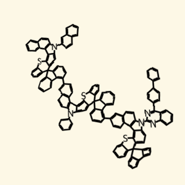 c1ccc(-c2ccc(-c3nc(-n4c5ccc6c(c5c5c7ccc(-c8cccc9c8-c8ccccc8C98c9ccccc9Sc9c8ccc8c9c9c%10ccc(-c%11cccc%12c%11-c%11ccccc%11C%12%11c%12ccccc%12Sc%12c%11ccc%11c%12c%12c%13ccccc%13ccc%12n%11-c%11ccc%12ccccc%12c%11)cc%10ccc9n8-c8ccccc8)cc7ccc54)Sc4ccccc4C64c5ccccc5-c5ccccc54)nc4ccccc34)cc2)cc1